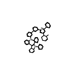 CC1C=CCCC1c1cc(-c2ccccc2)nc(-c2cccc(-c3cccc(N4c5ccccc5C5=C(c6ccccc64)N(c4ccccc4)C4C=CC=CC54)c3)c2)c1